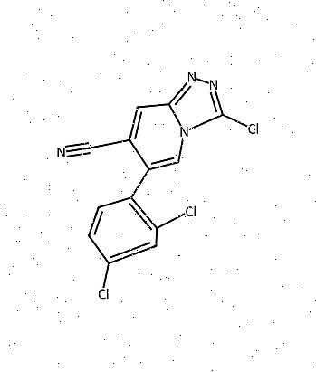 N#Cc1cc2nnc(Cl)n2cc1-c1ccc(Cl)cc1Cl